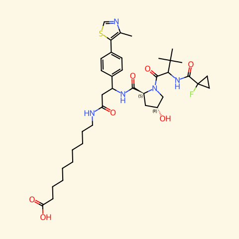 Cc1ncsc1-c1ccc(C(CC(=O)NCCCCCCCCCC(=O)O)NC(=O)[C@@H]2C[C@@H](O)CN2C(=O)C(NC(=O)C2(F)CC2)C(C)(C)C)cc1